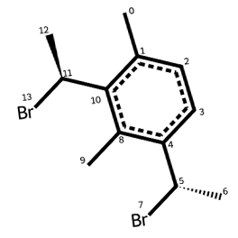 Cc1ccc([C@H](C)Br)c(C)c1[C@H](C)Br